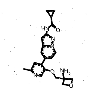 Cc1cc(-c2ccn3nc(NC(=O)C4CC4)cc3c2)c(OCC2(N)COC2)cn1